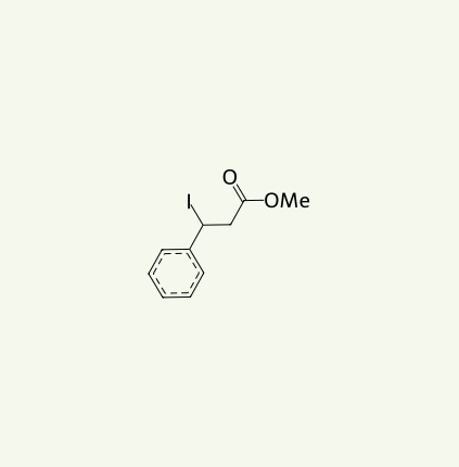 COC(=O)CC(I)c1ccccc1